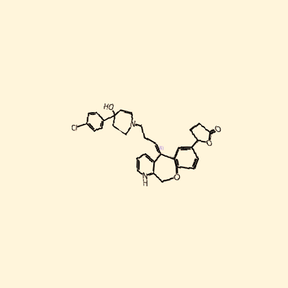 O=C1CCC(c2ccc3c(c2)/C(=C/CCN2CCC(O)(c4ccc(Cl)cc4)CC2)C2=CC=CNC2CO3)O1